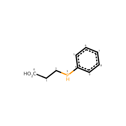 O=C(O)CCPc1ccccc1